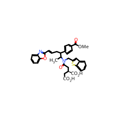 COC(=O)c1ccc(C(C/C=C/c2nc3ccccc3o2)C(C)N(Cc2cc3ccccc3s2)C(=O)C[C@H](CC(=O)O)C(=O)O)cc1